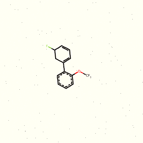 FC1C=CC=C(c2ccccc2OC(F)(F)F)C1